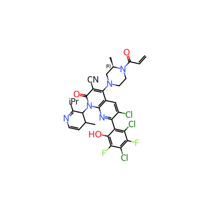 C=CC(=O)N1CCN(c2c(C#N)c(=O)n(C3C(C(C)C)=NC=CC3C)c3nc(-c4c(O)c(F)c(Cl)c(F)c4Cl)c(Cl)cc23)C[C@H]1C